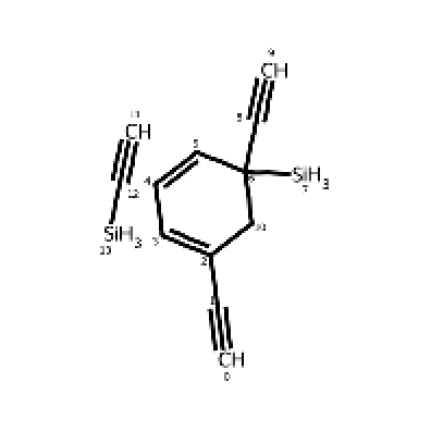 C#CC1=CC=CC([SiH3])(C#C)C1.C#C[SiH3]